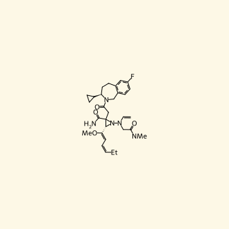 C=CN(CC(=O)NC)N1[C@H](/C(=C/C=C\CC)OC)C1(CC(=O)N1Cc2ccc(F)cc2CC[C@@H]1C1CC1)C(N)=O